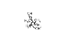 C#CCOC(=C)/C=C(/C=C(\C)OCC#C)C(\C=C)=C/C